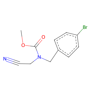 COC(=O)N(CC#N)Cc1ccc(Br)cc1